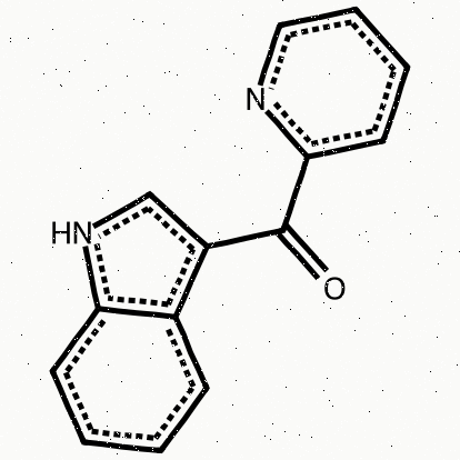 O=C(c1ccccn1)c1c[nH]c2ccccc12